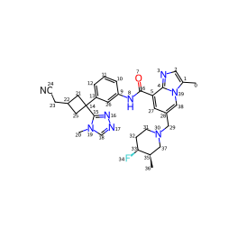 Cc1cnc2c(C(=O)Nc3cccc(C4(c5nncn5C)CC(CC#N)C4)c3)cc(CN3CC[C@H](F)[C@H](C)C3)cn12